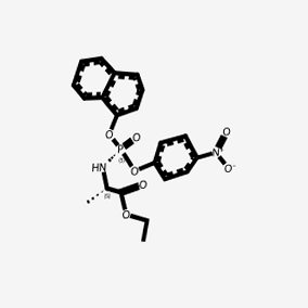 CCOC(=O)[C@H](C)N[P@](=O)(Oc1ccc([N+](=O)[O-])cc1)Oc1cccc2ccccc12